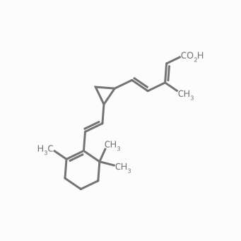 CC(C=CC1CC1C=CC1=C(C)CCCC1(C)C)=CC(=O)O